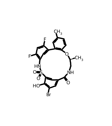 Cc1ccc2c(c1)-c1cc(c(F)cc1F)NS(=O)(=O)c1cc(cc(Br)c1O)C(=O)NC[C@H](C)O2